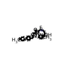 CN1CCN(c2ccc(Cc3ncc4c(=O)n5n(c4n3)-c3cccc(n3)C(C)(O)CC/C=C(/F)C5)cc2)CC1